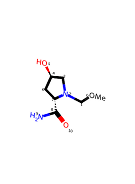 COCN1C[C@H](O)C[C@H]1C(N)=O